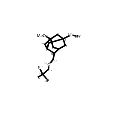 COC12CC3CC(OC(C)C)(CC(C1)C3COCC(C)(F)F)C2